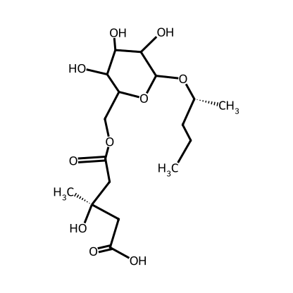 CCC[C@@H](C)OC1OC(COC(=O)C[C@](C)(O)CC(=O)O)C(O)C(O)C1O